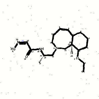 CCOC1CCCC2CCCCN(C[C@H](C)NC(=O)/C=N\O)C[C@@H]21